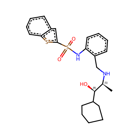 C[C@H](NCc1ccccc1NS(=O)(=O)c1cc2ccccc2s1)[C@H](O)C1CCCCC1